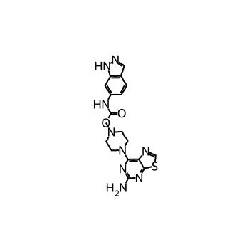 Nc1nc(N2CCN(OC(=O)Nc3ccc4cn[nH]c4c3)CC2)c2ncsc2n1